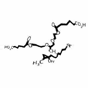 CC(C)CCCCCCC1(O)CC1C.CC(COCCOC(=O)CCCCC(=O)O)OCCOC(=O)CCCCC(=O)O